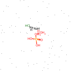 Cl.O.O.O=P(O)(O)O.[NaH].[NaH]